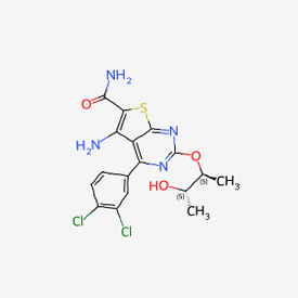 C[C@H](O)[C@H](C)Oc1nc(-c2ccc(Cl)c(Cl)c2)c2c(N)c(C(N)=O)sc2n1